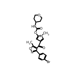 Cc1onc(-c2ccc(Br)cc2)c1C(=O)c1cc(OC(=O)NC2CCOCC2)n(C)c1